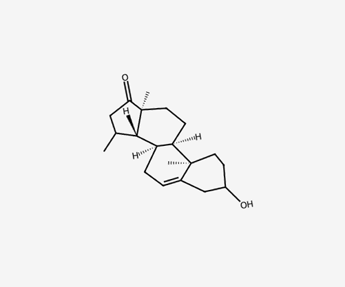 CC1CC(=O)[C@@]2(C)CC[C@@H]3[C@@H](CC=C4CC(O)CC[C@@]43C)[C@H]12